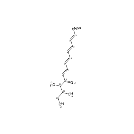 CCCCCCCCCC=CC=CC=CC=CC(=O)C(O)C(O)CO